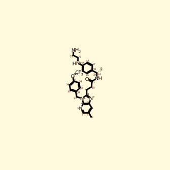 Cc1cnc2c(c1)nc(CCC(=O)N[C@@H](C)c1ccc(NCCN)cc1)n2Cc1ccc(OC(F)(F)F)cc1